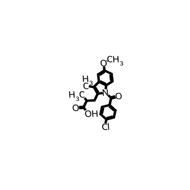 COc1ccc2c(c1)c(C)c(CC(C)C(=O)O)n2C(=O)c1ccc(Cl)cc1